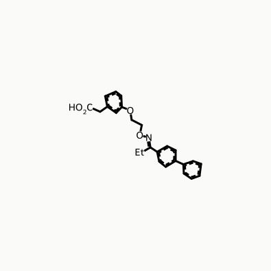 CC/C(=N\OCCOc1cccc(CC(=O)O)c1)c1ccc(-c2ccccc2)cc1